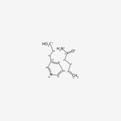 C=CCCC(N)=O.O=C(O)CCc1cccnc1